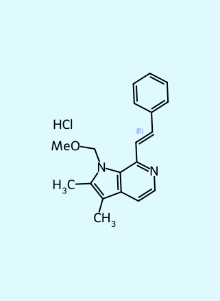 COCn1c(C)c(C)c2ccnc(/C=C/c3ccccc3)c21.Cl